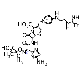 CCC(=N)NCCNc1cc[n+](CC2=C(C(=O)O)N3C(=O)C(NC(=O)/C(=N\OC(C)(C)C(=O)O)c4nsc(N)n4)C3SC2)cc1